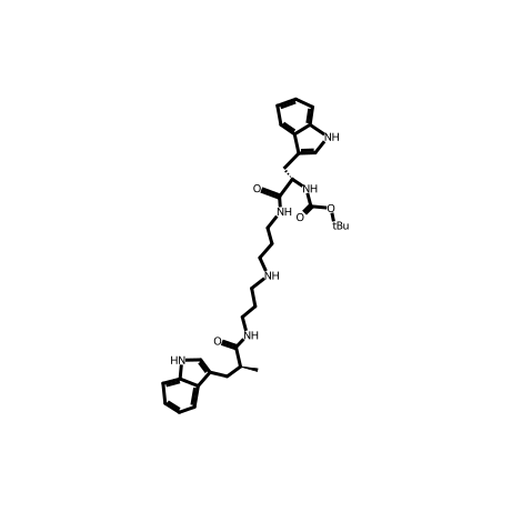 C[C@@H](Cc1c[nH]c2ccccc12)C(=O)NCCCNCCCNC(=O)[C@H](Cc1c[nH]c2ccccc12)NC(=O)OC(C)(C)C